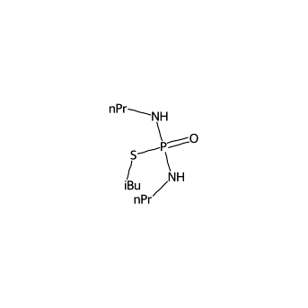 CCCNP(=O)(NCCC)SC(C)CC